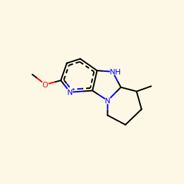 COc1ccc2c(n1)N1CCCC(C)C1N2